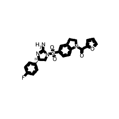 NC1=N[C@@H](c2ccc(F)cc2)CN1S(=O)(=O)c1ccc2c(c1)CCN2C(=O)c1ccco1